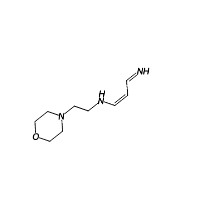 N=C/C=C\NCCN1CCOCC1